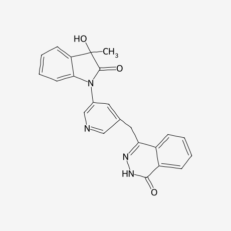 CC1(O)C(=O)N(c2cncc(Cc3n[nH]c(=O)c4ccccc34)c2)c2ccccc21